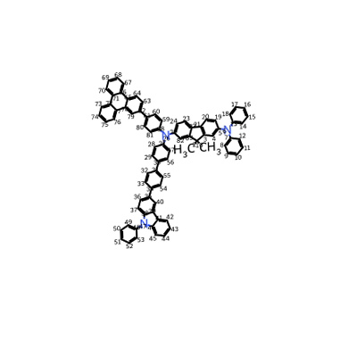 CC1(C)c2cc(N(c3ccccc3)c3ccccc3)ccc2-c2ccc(N(c3ccc(-c4ccc(-c5ccc6c(c5)c5ccccc5n6-c5ccccc5)cc4)cc3)c3ccc(-c4ccc5c6ccccc6c6ccccc6c5c4)cc3)cc21